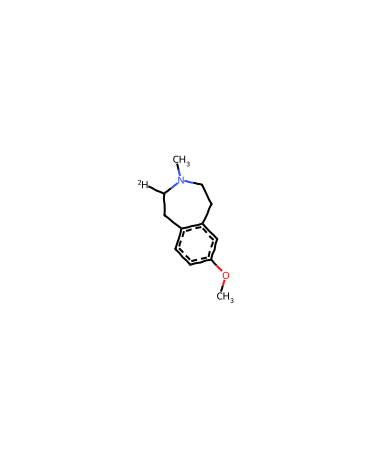 [2H]C1Cc2ccc(OC)cc2CCN1C